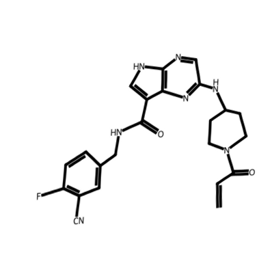 C=CC(=O)N1CCC(Nc2cnc3[nH]cc(C(=O)NCc4ccc(F)c(C#N)c4)c3n2)CC1